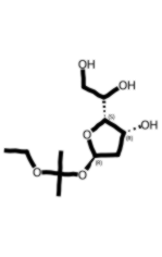 CCOC(C)(C)O[C@@H]1C[C@@H](O)[C@@H](C(O)CO)O1